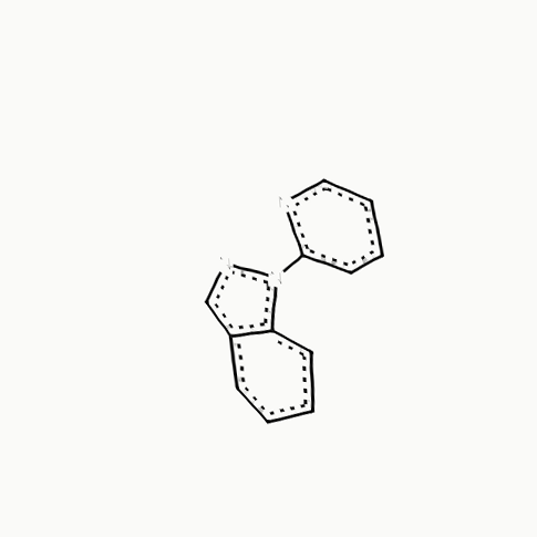 c1ccc(-n2ncc3ccccc32)nc1